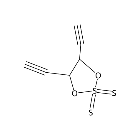 C#CC1OS(=S)(=S)OC1C#C